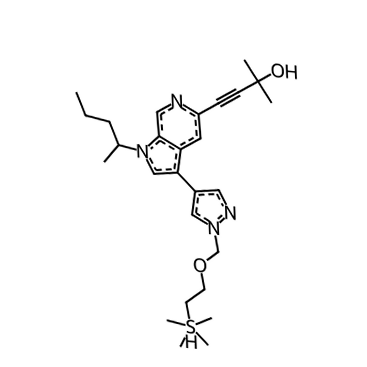 CCCC(C)n1cc(-c2cnn(COCC[SH](C)(C)(C)C)c2)c2cc(C#CC(C)(C)O)ncc21